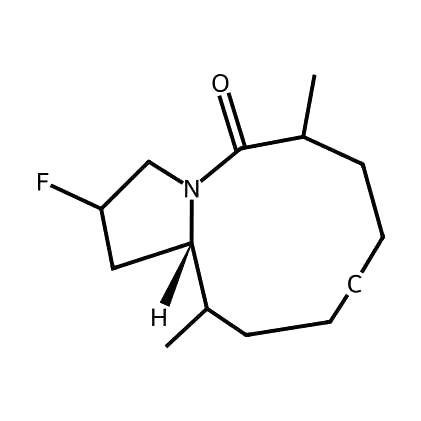 CC1CCCCCC(C)[C@@H]2CC(F)CN2C1=O